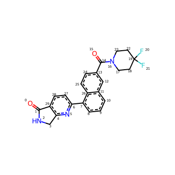 O=C1NCc2nc(-c3cccc4cc(C(=O)N5CCC(F)(F)CC5)ccc34)ccc21